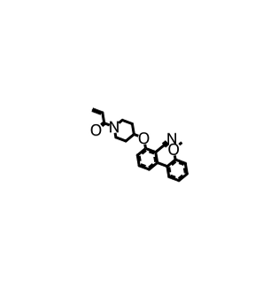 C=CC(=O)N1CCC(Oc2cccc(-c3ccccc3OC)c2C#N)CC1